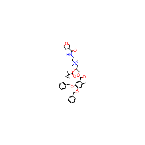 Cc1cc(OCc2ccccc2)c(OCc2ccccc2)cc1C(=O)OCC(C[N+](C)(C)CCNC(=O)C1CCOC1)OC(=O)C1(C)CC1